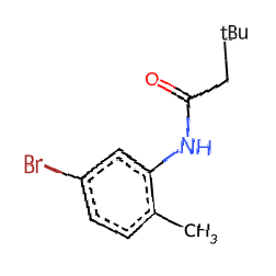 Cc1ccc(Br)cc1NC(=O)CC(C)(C)C